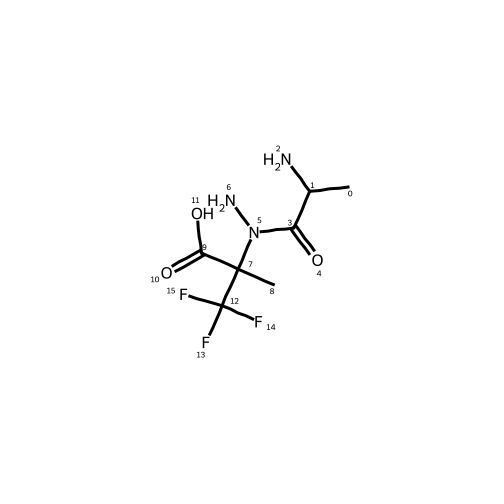 CC(N)C(=O)N(N)C(C)(C(=O)O)C(F)(F)F